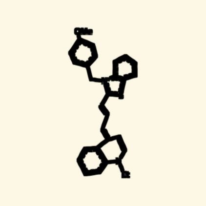 CCN1C=C/C(=C\C=C\c2sc3ccccc3[n+]2Cc2ccc(OC)cc2)c2ccccc21